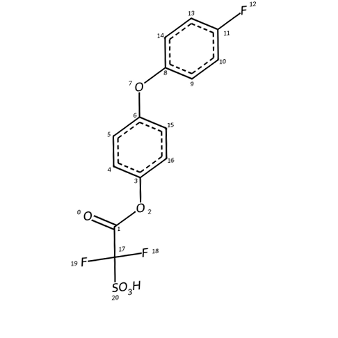 O=C(Oc1ccc(Oc2ccc(F)cc2)cc1)C(F)(F)S(=O)(=O)O